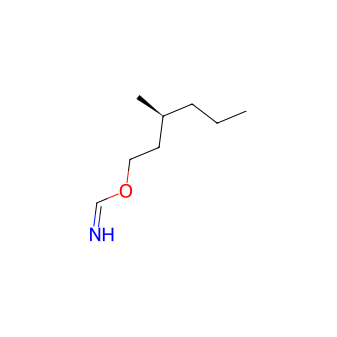 CCC[C@H](C)CCOC=N